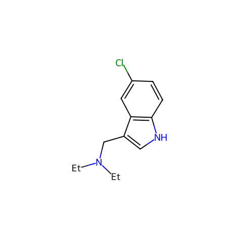 CCN(CC)Cc1c[nH]c2ccc(Cl)cc12